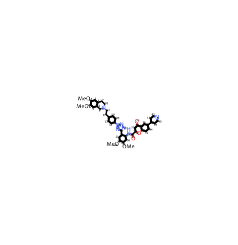 COc1cc2c(cc1OC)CN(CCc1ccc(-n3nnc(-c4cc(OC)c(OC)cc4NC(=O)c4cc(=O)c5cc(-c6ccncc6)ccc5o4)n3)cc1)CC2